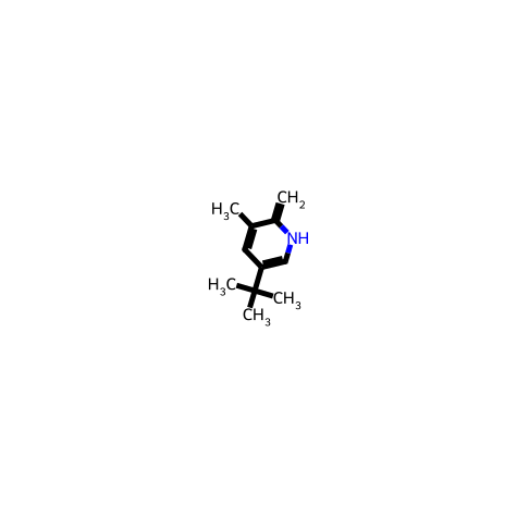 C=C1NC=C(C(C)(C)C)C=C1C